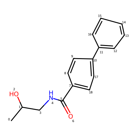 CC(O)CNC(=O)c1ccc(-c2ccccc2)cc1